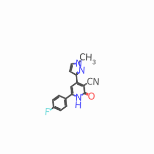 Cn1ccc(-c2cc(-c3ccc(F)cc3)[nH]c(=O)c2C#N)n1